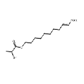 CCCCCCCCC=CCCCCCCCCOC(=O)C(C)S